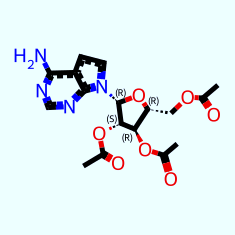 CC(=O)OC[C@H]1O[C@@H](n2ccc3c(N)ncnc32)[C@@H](OC(C)=O)[C@@H]1OC(C)=O